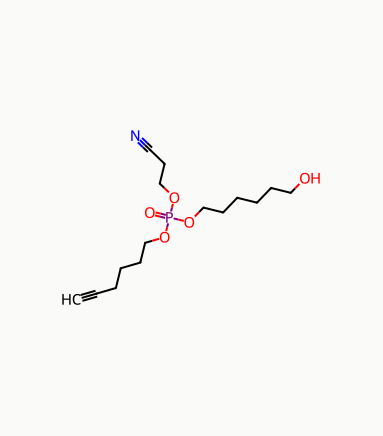 C#CCCCCOP(=O)(OCCC#N)OCCCCCCO